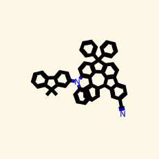 CC1(C)c2ccccc2-c2ccc(N(c3ccccc3)c3ccc4c5c3-c3ccccc3C3c6cc(C#N)ccc6-c6ccc(c-5c63)C4(c3ccccc3)c3ccccc3)cc21